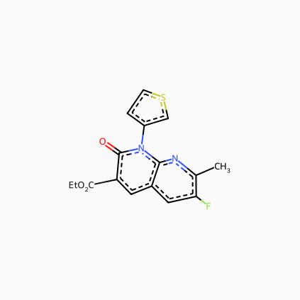 CCOC(=O)c1cc2cc(F)c(C)nc2n(-c2ccsc2)c1=O